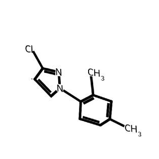 Cc1ccc(-n2c[c]c(Cl)n2)c(C)c1